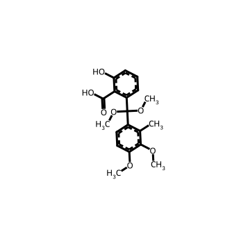 COc1ccc(C(OC)(OC)c2cccc(O)c2C(=O)O)c(C)c1OC